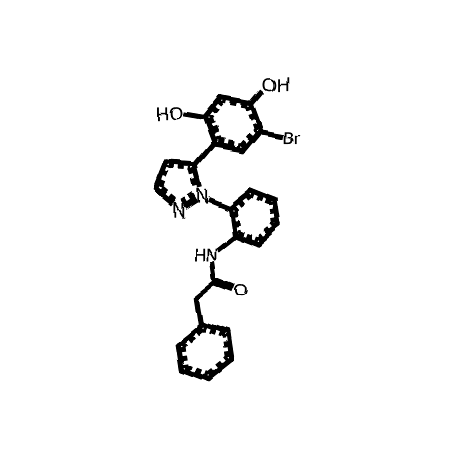 O=C(Cc1ccccc1)Nc1ccccc1-n1nccc1-c1cc(Br)c(O)cc1O